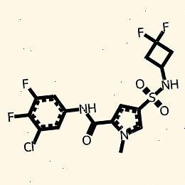 Cn1cc(S(=O)(=O)NC2CC(F)(F)C2)cc1C(=O)Nc1cc(F)c(F)c(Cl)c1